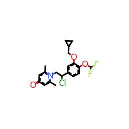 Cc1cc(=O)cc(C)n1CC(Cl)c1ccc(OC(F)F)c(OCC2CC2)c1